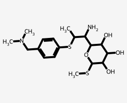 CSC1OC(C(N)C(C)Sc2ccc(CN(C)C)cc2)C(O)C(O)C1O